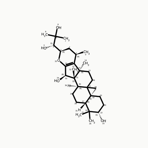 C[C@@H]1C[C@H]([C@H](O)C(C)(C)O)OC2=C1[C@@]1(C)CCC34C[C@@]35CC[C@H](O)C(C)(C)[C@@H]5CC[C@H]4[C@]1(C)[C@H]2O